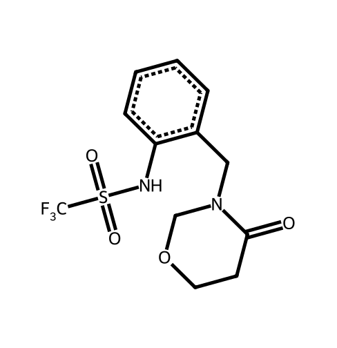 O=C1CCOCN1Cc1ccccc1NS(=O)(=O)C(F)(F)F